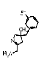 CCc1cccc(CC2(C)CN=C(CN)C2)c1